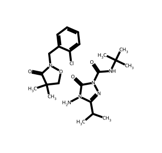 CC(C)c1nn(C(=O)NC(C)(C)C)c(=O)n1N.CC1(C)CON(Cc2ccccc2Cl)C1=O